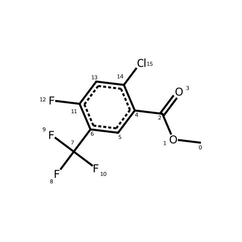 COC(=O)c1cc(C(F)(F)F)c(F)cc1Cl